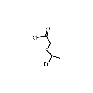 CCC(C)SCC(=O)Cl